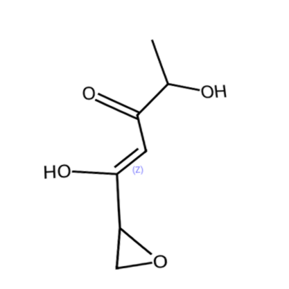 CC(O)C(=O)/C=C(\O)C1CO1